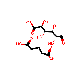 O=C(O)CCCC(=O)O.O=C[C@H](O)[C@@H](O)[C@H](O)[C@H](O)C(=O)O